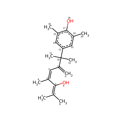 C=C(/C=C(/C)C(O)=C(C)C)C(C)(C)c1cc(C)c(O)c(C)c1